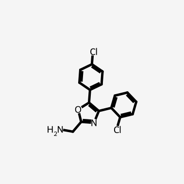 NCc1nc(-c2ccccc2Cl)c(-c2ccc(Cl)cc2)o1